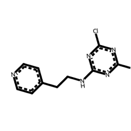 Clc1nc(Cl)nc(NCCc2ccncc2)n1